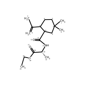 C=C(C)C1CCC(C)(C)CC1C(=O)N[C@H](C)C(=O)OCC